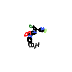 Cc1cc(-c2ccc(F)nc2)c(CN2CCC3(CC2)CN(c2ccc(C(=O)O)cc2)C(=O)O3)cc1Cl